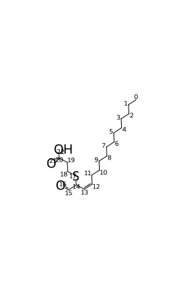 CCCCCCCCCCCC/C=C\C(C=O)SCCC(=O)O